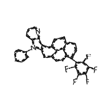 Fc1c(F)c(F)c(-c2ccc3ccc4c5c(ccc2c35)cc2c4c3ncccc3n2-c2ccccc2)c(F)c1F